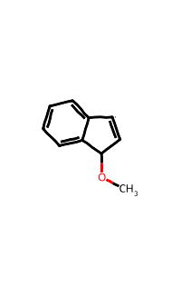 COC1C=[C]c2ccccc21